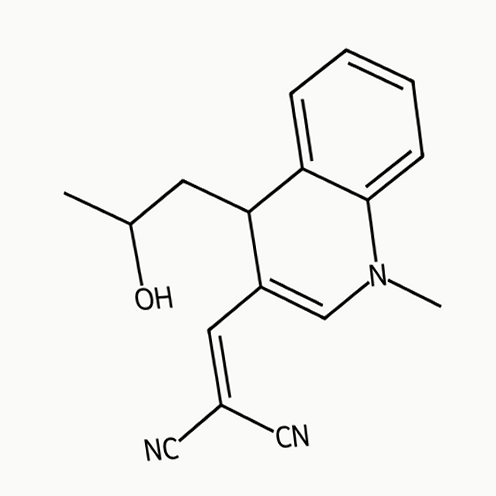 CC(O)CC1C(C=C(C#N)C#N)=CN(C)c2ccccc21